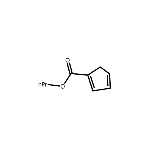 CCCOC(=O)C1=CC=CC1